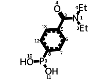 CCN(CC)C(=O)c1ccc(P(O)O)cc1